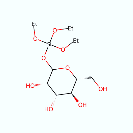 CCO[Si](OCC)(OCC)OC1O[C@H](CO)[C@@H](O)[C@H](O)[C@@H]1O